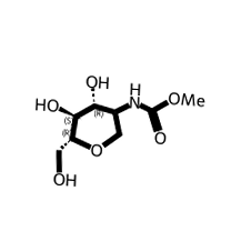 COC(=O)NC1CO[C@H](CO)[C@@H](O)[C@@H]1O